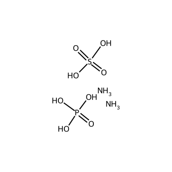 N.N.O=P(O)(O)O.O=S(=O)(O)O